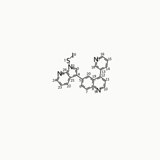 ISn1cc(-c2ccc3nccc(-c4cccnc4)c3c2)c2cccnc21